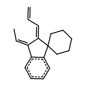 C=C/C=C1\C(=C/C)c2ccccc2C12CCCCC2